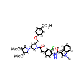 CO[C@H]1CN([C@H]2C[C@@H](CO[C@H]3CC[C@H](C(=O)O)CC3)N(C(=O)Cc3ccc(NC(=O)c4cn(C)c5ccccc45)c(Cl)c3)C2)C[C@H]1OC